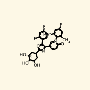 Cc1cc(F)cc(C)c1-n1cc(-c2nc(C3C[C@@H](O)C(O)[C@H](O)C3)oc2-c2ccc(F)cc2F)ccc1=O